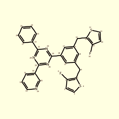 Fc1ccsc1Cc1cc(Cc2sccc2F)cc(-c2nc(-c3ccccc3)nc(-c3cccnc3)n2)c1